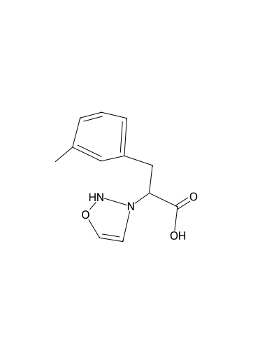 Cc1cccc(CC(C(=O)O)N2C=CON2)c1